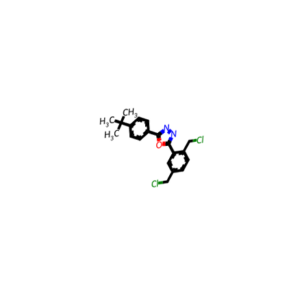 CC(C)(C)c1ccc(-c2nnc(-c3cc(CCl)ccc3CCl)o2)cc1